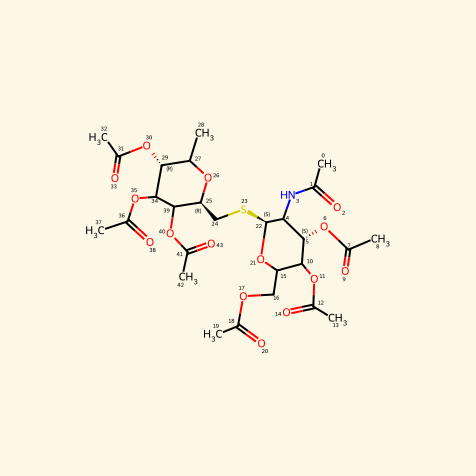 CC(=O)NC1[C@H](OC(C)=O)C(OC(C)=O)C(COC(C)=O)O[C@H]1SC[C@@H]1OC(C)[C@@H](OC(C)=O)C(OC(C)=O)C1OC(C)=O